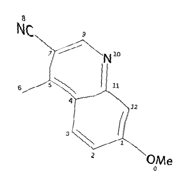 COc1ccc2c(C)c(C#N)cnc2c1